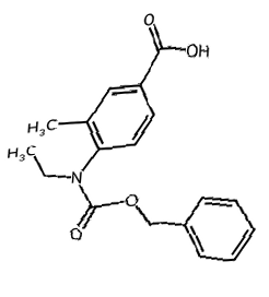 CCN(C(=O)OCc1ccccc1)c1ccc(C(=O)O)cc1C